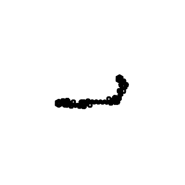 CC1(C)CC(OC(=O)CCCCCCCCC(=O)OC2CC(C)(C)N(OCCC(=O)OC3CC(C)(C)N(OC4CCCCC4)C(C)(C)C3)C(C)(C)C2)CC(C)(C)N1OCCC(=O)OC1CC(C)(C)N(OC2CCCCC2)C(C)(C)C1